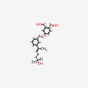 CCC(O)(CC)CC/C=C(\C)c1cccc(COc2ccc(CO)c(CO)c2)c1